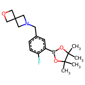 CC1(C)OB(c2cc(CN3CC4(COC4)C3)ccc2F)OC1(C)C